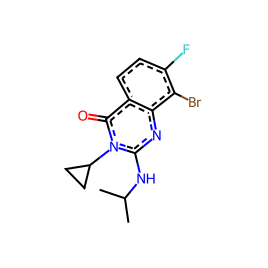 CC(C)Nc1nc2c(Br)c(F)ccc2c(=O)n1C1CC1